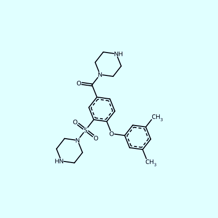 Cc1cc(C)cc(Oc2ccc(C(=O)N3CCNCC3)cc2S(=O)(=O)N2CCNCC2)c1